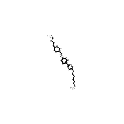 CCCCCCCCc1cnc(-c2ccc(OCC3CCC(CCCCC)CC3)cc2)nc1